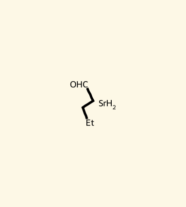 CCCCC=O.[SrH2]